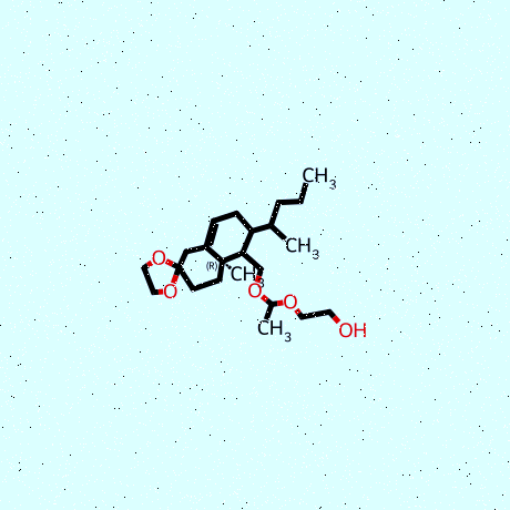 CCCC(C)C1CC=C2CC3(CC[C@]2(C)C1COC(C)OCCO)OCCO3